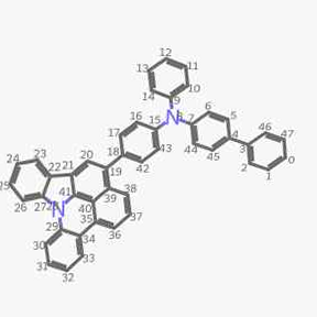 c1ccc(-c2ccc(N(c3ccccc3)c3ccc(-c4cc5c6ccccc6n6c7ccccc7c7cccc4c7c56)cc3)cc2)cc1